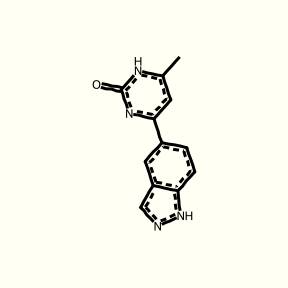 Cc1cc(-c2ccc3[nH]ncc3c2)nc(=O)[nH]1